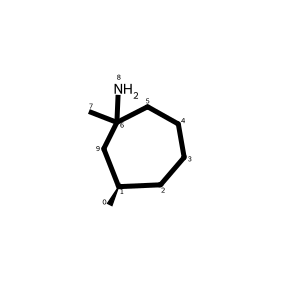 C[C@@H]1CCCCC(C)(N)C1